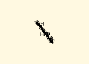 CC(C)OC(=O)CCCC(=O)NCCOCCOCCNC(C)(C)C